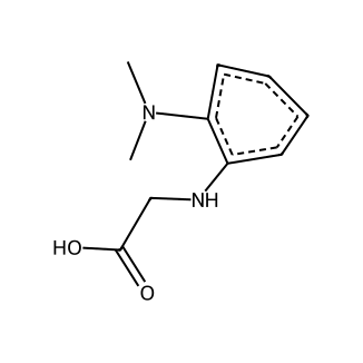 CN(C)c1ccccc1NCC(=O)O